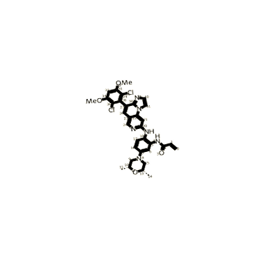 C=CC(=O)Nc1cc(N2C[C@@H](C)O[C@@H](C)C2)ccc1Nc1cc2c(cn1)cc(-c1c(Cl)c(OC)cc(OC)c1Cl)c1nccn12